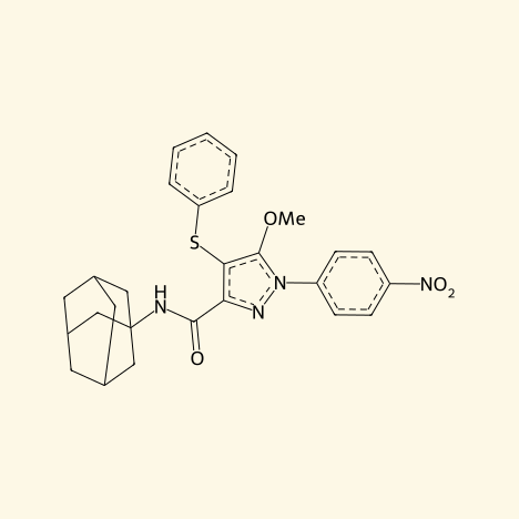 COc1c(Sc2ccccc2)c(C(=O)NC23CC4CC(CC(C4)C2)C3)nn1-c1ccc([N+](=O)[O-])cc1